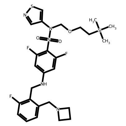 C[Si](C)(C)CCOCN(c1cnsc1)S(=O)(=O)c1c(F)cc(NCc2c(F)cccc2CN2CCC2)cc1F